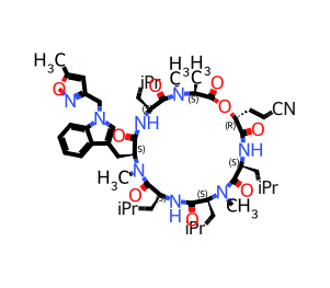 Cc1cc(Cn2cc(C[C@H]3C(=O)N[C@@H](CC(C)C)C(=O)N(C)[C@@H](C)C(=O)O[C@H](CCC#N)C(=O)N[C@@H](CC(C)C)C(=O)N(C)[C@@H](CC(C)C)C(=O)N[C@@H](CC(C)C)C(=O)N3C)c3ccccc32)no1